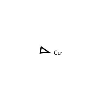 [CH]1CC1.[Cu]